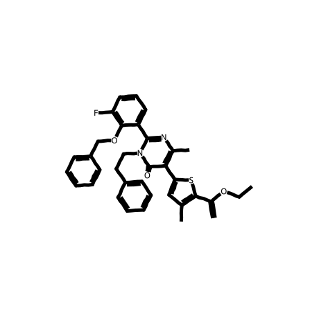 C=C(OCC)c1sc(-c2c(C)nc(-c3cccc(F)c3OCc3ccccc3)n(CCc3ccccc3)c2=O)cc1C